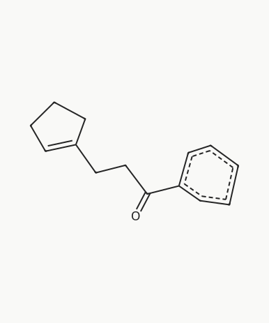 O=C(CCC1=CCCC1)c1ccccc1